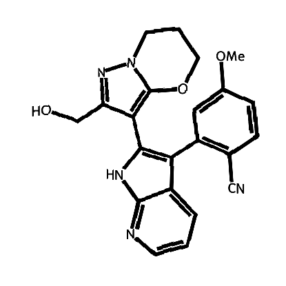 COc1ccc(C#N)c(-c2c(-c3c(CO)nn4c3OCCC4)[nH]c3ncccc23)c1